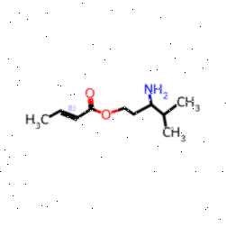 C/C=C/C(=O)OCCC(N)C(C)C